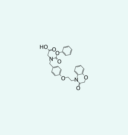 O=C(O)CN(Cc1ccc(OCCN2C(=O)COc3ccccc32)cc1)C(=O)Oc1ccccc1